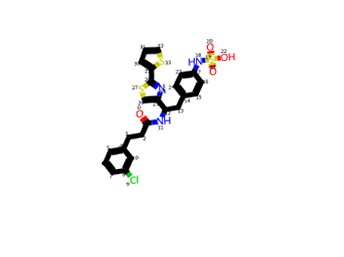 O=C(CCc1cccc(Cl)c1)NC(Cc1ccc(NS(=O)(=O)O)cc1)c1csc(-c2cccs2)n1